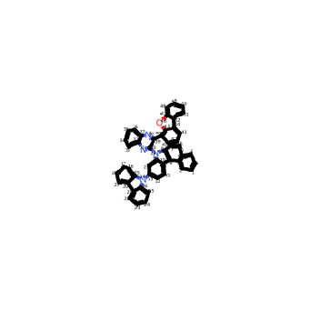 c1ccc2c(c1)ccc1c2c2ccc(-n3c4ccccc4c4ccccc43)cc2n1-c1nc2ccccc2nc1-c1cccc2c1oc1ccccc12